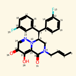 C/C=C/CN1C[C@H](C(c2cccc(F)c2)c2cccc(F)c2)n2ncc(=O)c(O)c2C1=O